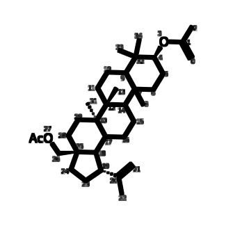 C=C(C)O[C@H]1CCC2(C)C(CC[C@]3(C)C2CCC2C4[C@H](C(=C)C)CC[C@]4(COC(C)=O)CC[C@]23C)C1(C)C